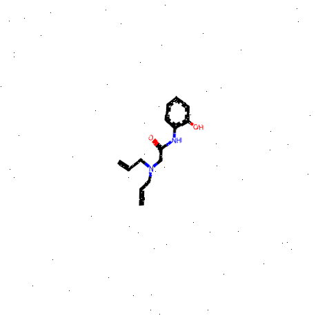 C=CCN(CC=C)CC(=O)Nc1ccccc1O